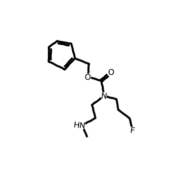 CNCCN(CCCF)C(=O)OCc1ccccc1